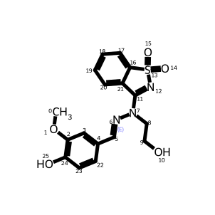 COc1cc(/C=N/N(CCO)C2=NS(=O)(=O)c3ccccc32)ccc1O